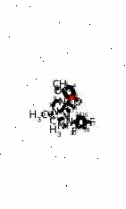 COc1ccccc1N1CCN(C(C)C)CC1(CN1CN=CN1c1ccc(F)cc1F)C1CCOC1